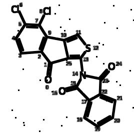 O=C1c2ccc(Cl)c(Cl)c2-c2csc(N3C(=O)c4ccccc4C3=O)c21